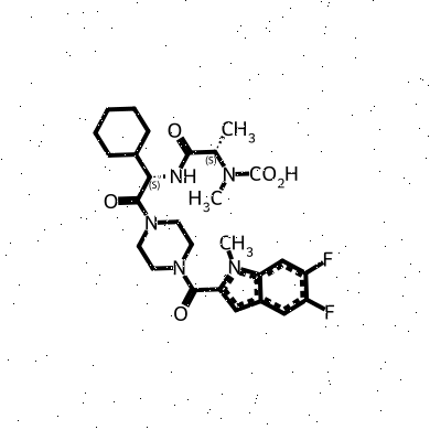 C[C@@H](C(=O)N[C@H](C(=O)N1CCN(C(=O)c2cc3cc(F)c(F)cc3n2C)CC1)C1CCCCC1)N(C)C(=O)O